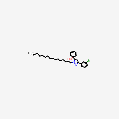 CCCCCCCCCCCCCCCCN1N=C(c2cccc(Br)c2)CC1C1(O)C=CC=CC1